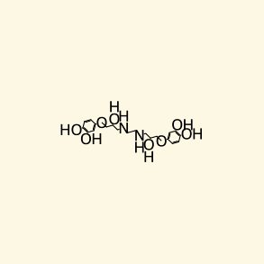 Oc1ccc(OCC(O)CNCCNCC(O)COc2ccc(O)c(O)c2)cc1O